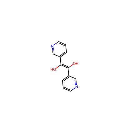 O/C(=C(/O)c1cccnc1)c1cccnc1